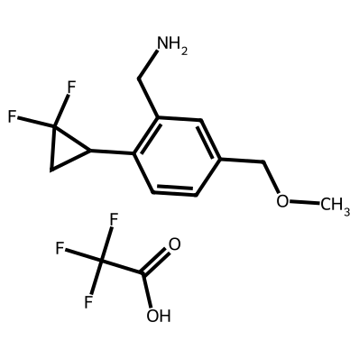 COCc1ccc(C2CC2(F)F)c(CN)c1.O=C(O)C(F)(F)F